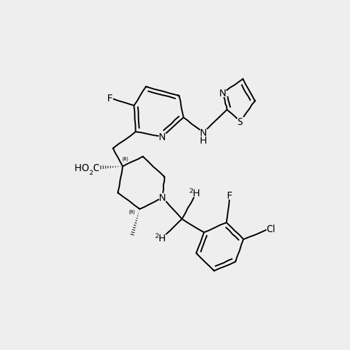 [2H]C([2H])(c1cccc(Cl)c1F)N1CC[C@@](Cc2nc(Nc3nccs3)ccc2F)(C(=O)O)C[C@H]1C